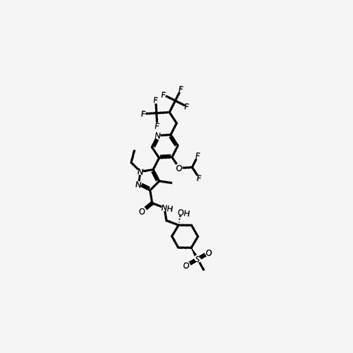 CCn1nc(C(=O)NC[C@]2(O)CC[C@H](S(C)(=O)=O)CC2)c(C)c1-c1cnc(CC(C(F)(F)F)C(F)(F)F)cc1OC(F)F